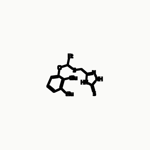 CCC(Oc1cccc(C(C)(C)C)c1C(C)(C)C)SCc1n[nH]c(=S)[nH]1